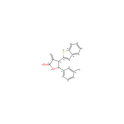 C=C1C(=O)OC(c2cccc(C)c2)C1c1cc2ccccc2s1